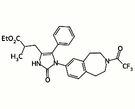 CCOC(=O)C(C)Cc1[nH]c(=O)n(-c2ccc3c(c2)CCN(C(=O)C(F)(F)F)CC3)c1-c1ccccc1